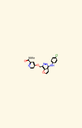 CNC(=O)c1cc(OCc2nnc(Nc3ccc(Cl)cc3)c3ccoc23)ccn1